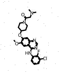 COc1cc2c(Nc3cccc(Cl)c3F)ncnc2cc1OC1CCN(C(=O)CN(C)C)CC1